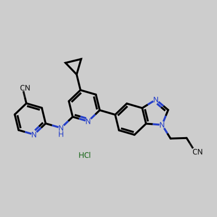 Cl.N#CCCn1cnc2cc(-c3cc(C4CC4)cc(Nc4cc(C#N)ccn4)n3)ccc21